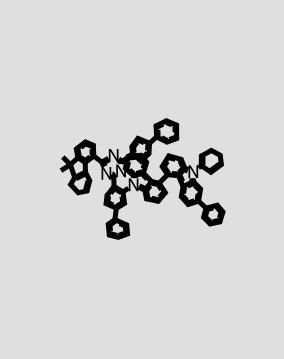 CC1(C)C2=C(C=CCC2)c2c(-c3nc(-c4ccc(-c5ccccc5)cc4)nc(-c4ccc(-c5ccccc5)cc4-n4c5ccccc5c5c(-c6cccc7c6c6ccc(-c8ccccc8)cc6n7C6=CCCC=C6)cccc54)n3)cccc21